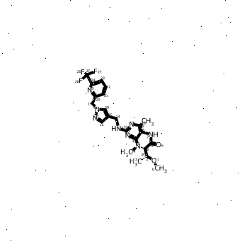 CO[C@H](C)[C@H]1C(=O)Nc2c(C)nc(NCc3cnn(Cc4cccc(C(F)(F)F)n4)c3)nc2N1C